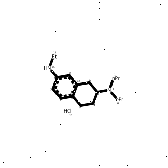 CCCN(CCC)C1CCc2ccc(NCC)cc2C1.Cl